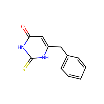 O=c1cc(Cc2ccccc2)[nH]c(=S)[nH]1